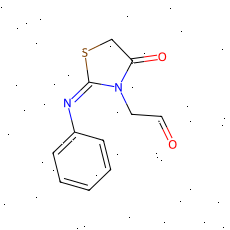 O=CCN1C(=O)CSC1=Nc1ccccc1